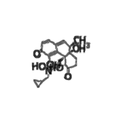 C[C@@H]1C=C2C=CC(=O)C(O)=C2[C@@]2(CCN(O)CC3CC3)[C@@H](O)C(=O)CC[C@@]12O